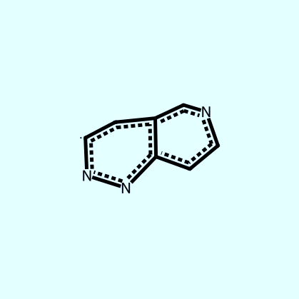 [c]1cc2cnccc2nn1